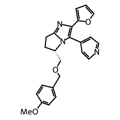 COc1ccc(COC[C@@H]2CCc3nc(-c4ccco4)c(-c4ccncc4)n32)cc1